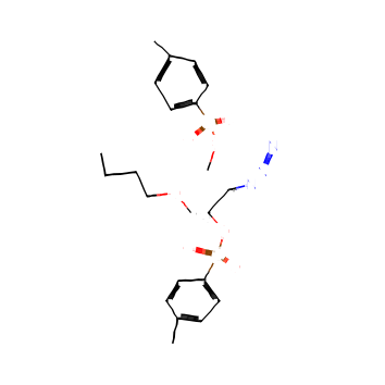 CCCCOC[C@@H](OS(=O)(=O)c1ccc(C)cc1)[C@H](COS(=O)(=O)c1ccc(C)cc1)N=[N+]=[N-]